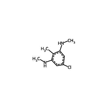 CNc1cc(Cl)cc(NC)c1C